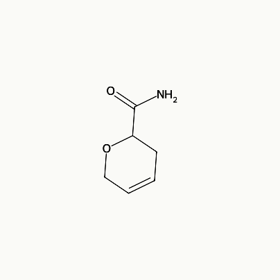 NC(=O)C1CC=CCO1